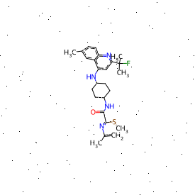 C=C(C)/N=C(\SC)C(=O)NC1CCC(Nc2cc(C(C)(C)F)nc3ccc(C)cc23)CC1